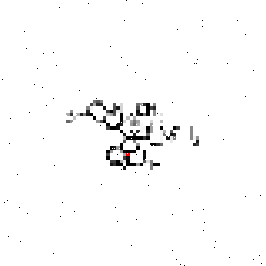 COc1nc2ccc(Br)cc2cc1C(c1ccccc1)C(O)(c1cc(F)cc(F)c1)C1CCN(C)CC1